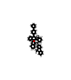 CC1(C)c2ccccc2-c2ccc(N(c3cccc4ccccc34)c3cccc4oc5c(-c6ccc(-c7ccccc7)cc6)c6ccccc6cc5c34)cc21